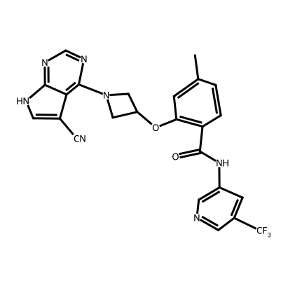 Cc1ccc(C(=O)Nc2cncc(C(F)(F)F)c2)c(OC2CN(c3ncnc4[nH]cc(C#N)c34)C2)c1